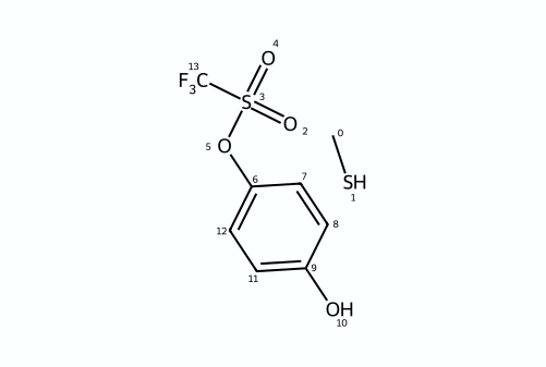 CS.O=S(=O)(Oc1ccc(O)cc1)C(F)(F)F